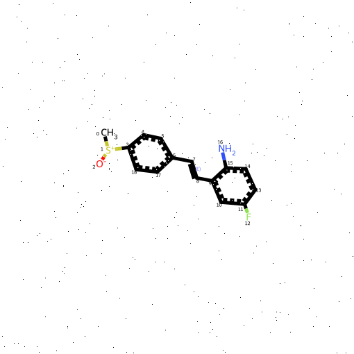 C[S+]([O-])c1ccc(/C=C/c2cc(F)ccc2N)cc1